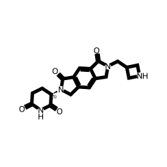 O=C1CC[C@H](N2Cc3cc4c(cc3C2=O)C(=O)N(CC2CNC2)C4)C(=O)N1